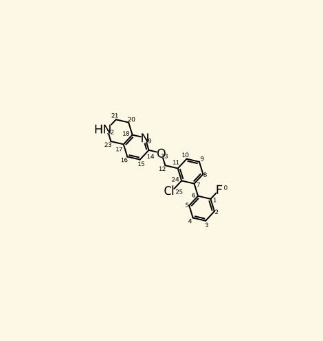 Fc1ccccc1-c1cccc(COc2ccc3c(n2)CCNC3)c1Cl